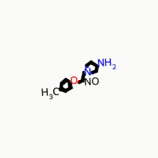 Cc1ccc(OCC(CN2CCC(N)CC2)N=O)cc1